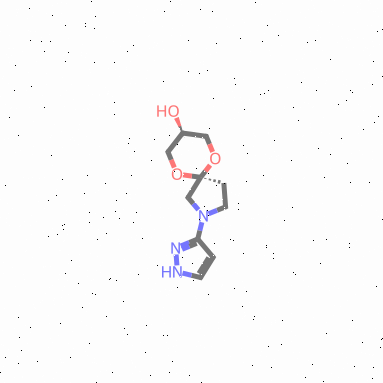 O[C@H]1CO[C@]2(CCN(c3cc[nH]n3)C2)OC1